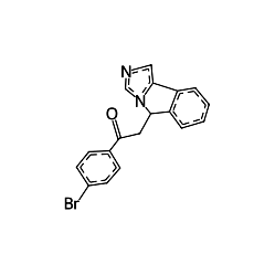 O=C(CC1c2ccccc2-c2cncn21)c1ccc(Br)cc1